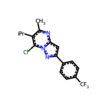 Cc1nc2cc(-c3ccc(C(F)(F)F)cc3)nn2c(Cl)c1C(C)C